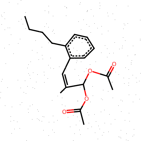 CCCCc1ccccc1C=C(C)C(OC(C)=O)OC(C)=O